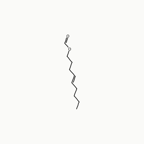 CCCC/C=C/CCCOC=O